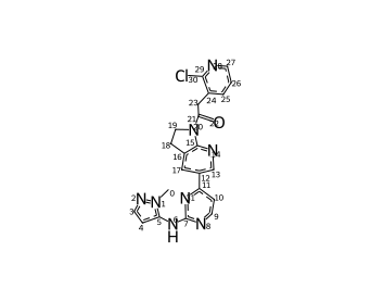 Cn1nccc1Nc1nccc(-c2cnc3c(c2)CCN3C(=O)Cc2cccnc2Cl)n1